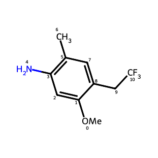 COc1cc(N)c(C)cc1CC(F)(F)F